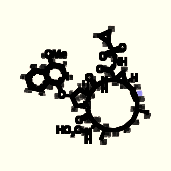 COc1cnc(O[C@@H]2C[C@H]3C(=O)N[C@]4(C(=O)NS(=O)(=O)C5CC5)C[C@H]4/C=C\[C@@H](C)CCC[C@@H](C)[C@H](NC(=O)O)C(=O)N3C2)c2ccccc12